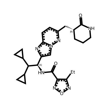 CCc1nonc1C(=O)N[C@H](c1cn2nc(C[C@H]3CCCNC3=O)ccc2n1)C(C1CC1)C1CC1